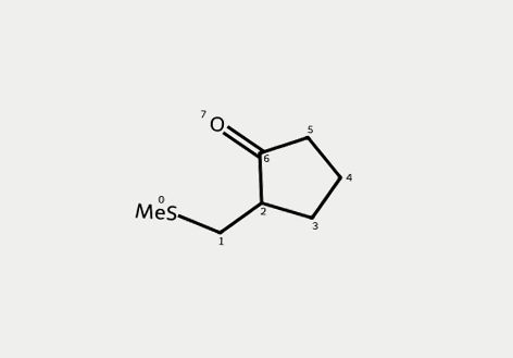 CSCC1CCCC1=O